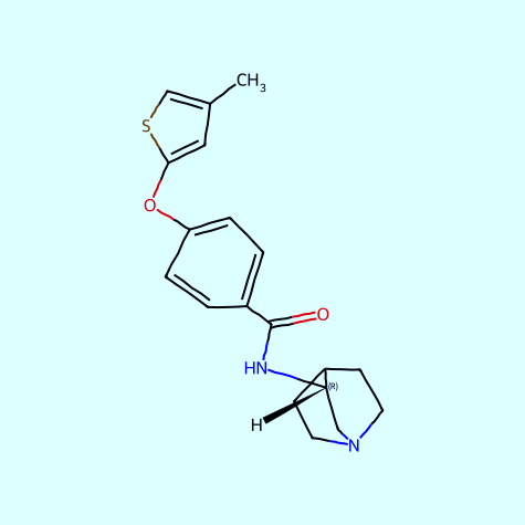 Cc1csc(Oc2ccc(C(=O)N[C@H]3CN4CCC3CC4)cc2)c1